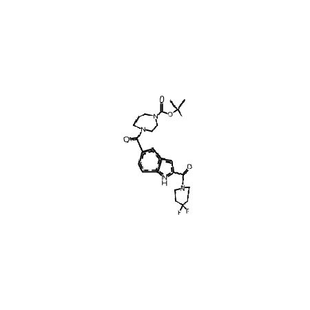 CC(C)(C)OC(=O)N1CCCN(C(=O)c2ccc3[nH]c(C(=O)N4CCC(F)(F)CC4)cc3c2)CC1